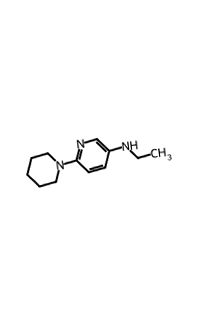 CCNc1ccc(N2CCCCC2)nc1